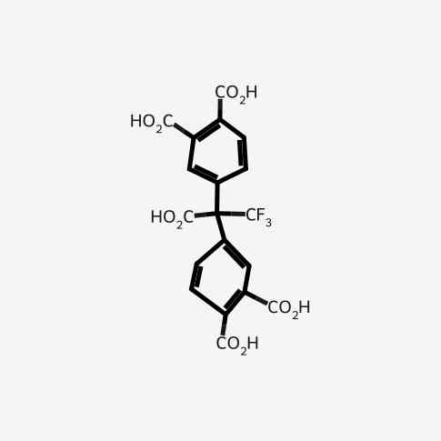 O=C(O)c1ccc(C(C(=O)O)(c2ccc(C(=O)O)c(C(=O)O)c2)C(F)(F)F)cc1C(=O)O